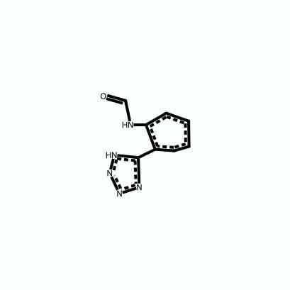 O=CNc1ccccc1-c1nnn[nH]1